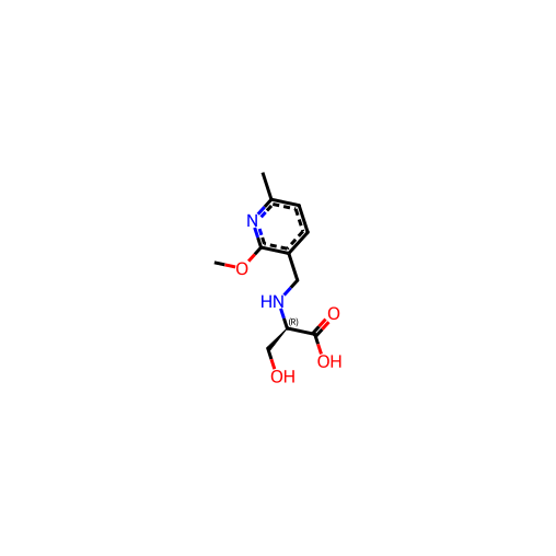 COc1nc(C)ccc1CN[C@H](CO)C(=O)O